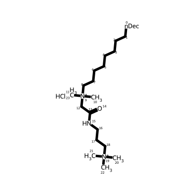 CCCCCCCCCCCCCCCCCC[N+](C)(C)CC(=O)NCCC[N+](C)(C)C.Cl